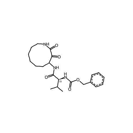 CC(C)[C@H](NC(=O)OCc1ccccc1)C(=O)NC1CCCCCCNC(=O)C1=O